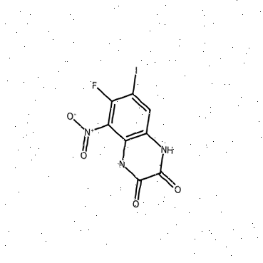 O=C1[N]c2c(cc(I)c(F)c2[N+](=O)[O-])NC1=O